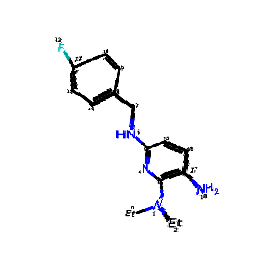 CCN(CC)c1nc(NCc2ccc(F)cc2)ccc1N